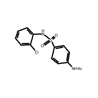 CC(=O)Nc1ccc(S(=O)(=O)Nc2ccccc2Cl)cc1